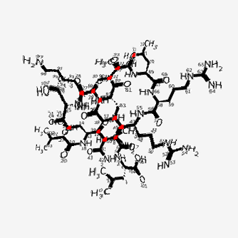 CC(C)C[C@H](NC(=O)[C@H](C)NC(=O)[C@H](CC(=O)O)NC(=O)[C@@H](NC(=O)[C@@H](NC(=O)[C@H](CCC(=O)O)NC(=O)[C@H](CCC(N)=O)NC(=O)[C@H](CCCNC(=N)N)NC(=O)[C@H](CCCNC(=N)N)NC(=O)[C@H](CC(C)C)NC(=O)[C@H](C)NC(=O)[C@H](CCCCN)NC(=O)[C@@H](N)CCCCN)[C@@H](C)O)C(C)C)C(=O)O